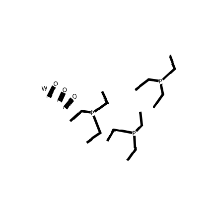 CCP(CC)CC.CCP(CC)CC.CCP(CC)CC.[C]=O.[C]=O.[C]=O.[W]